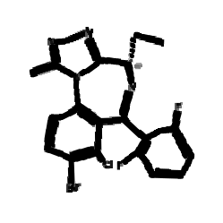 CC[C@@H]1N=C(c2c(F)cccc2F)c2c(ccc(Br)c2Cl)-n2c(C)nnc21